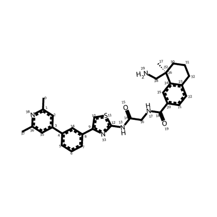 Cc1cc(-c2cccc(-c3csc(NC(=O)CNC(=O)c4ccc5c(c4)[C@@](C)(CN)CCC5)n3)c2)cc(C)n1